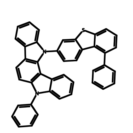 c1ccc(-c2cccc3sc4cc(-n5c6ccccc6c6ccc7c(c8ccccc8n7-c7ccccc7)c65)ccc4c23)cc1